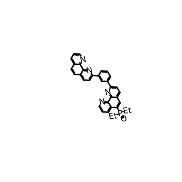 CCP(=O)(CC)c1cc2ccc(-c3cccc(-c4ccc5ccc6cccnc6c5n4)c3)nc2c2ncccc12